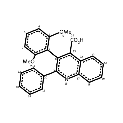 COc1cccc(OC)c1-c1c(-c2ccccc2)nc2ccccc2c1C(=O)O